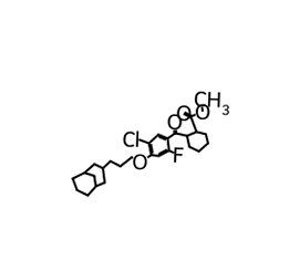 COC(=O)C1CCCCC1C(=O)c1cc(Cl)c(OCCCC2CC3CCCC(C2)C3)cc1F